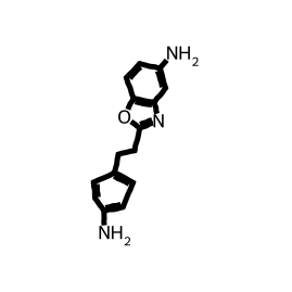 Nc1ccc(CCc2nc3cc(N)ccc3o2)cc1